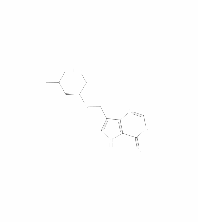 CC(C)C[C@@H](CO)NCc1c[nH]c2c(=O)[nH]cnc12